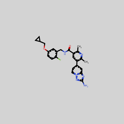 Cc1nc(C)c(-c2ccn3nc(N)nc3c2)cc1C(=O)NCc1cc(OCC2CC2)ccc1F